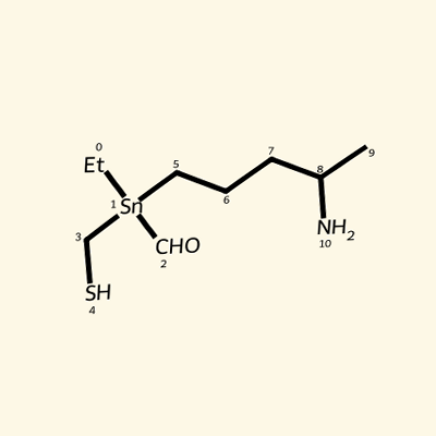 C[CH2][Sn]([CH]=O)([CH2]S)[CH2]CCC(C)N